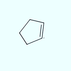 [C]1=CCCC1